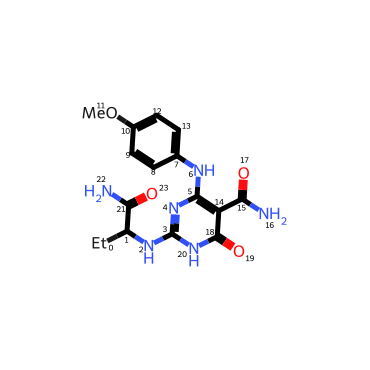 CCC(Nc1nc(Nc2ccc(OC)cc2)c(C(N)=O)c(=O)[nH]1)C(N)=O